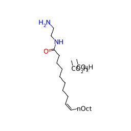 CC(=O)O.CC(=O)O.CCCCCCCC/C=C\CCCCCCCC(=O)NCCN